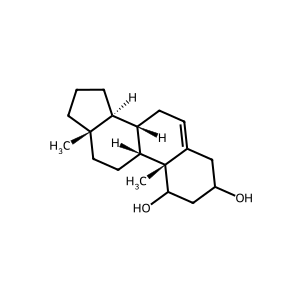 C[C@@]12CCC[C@H]1[C@@H]1CC=C3CC(O)CC(O)[C@]3(C)[C@@H]1CC2